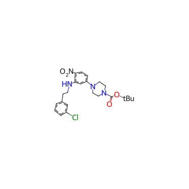 CC(C)(C)OC(=O)N1CCN(c2ccc([N+](=O)[O-])c(NCCc3cccc(Cl)c3)c2)CC1